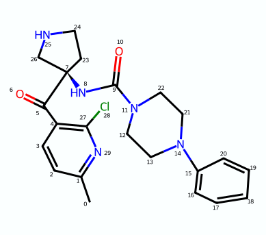 Cc1ccc(C(=O)[C@@]2(NC(=O)N3CCN(c4ccccc4)CC3)CCNC2)c(Cl)n1